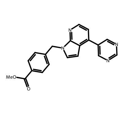 COC(=O)c1ccc(Cn2ccc3c(-c4cncnc4)ccnc32)cc1